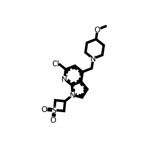 COC1CCN(Cc2cc(Cl)nc3c2ccn3C2CS(=O)(=O)C2)CC1